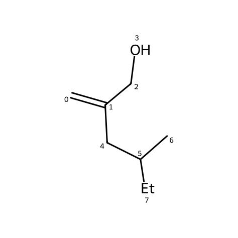 C=C(CO)CC(C)CC